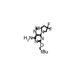 CC(C)(C)COc1nc(N)c(N=N)c(N2CCC(F)(F)C2)n1